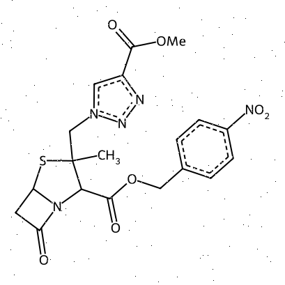 COC(=O)c1cn(CC2(C)SC3CC(=O)N3C2C(=O)OCc2ccc([N+](=O)[O-])cc2)nn1